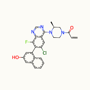 C=CC(=O)N1CCN(c2ncnc3c(F)c(-c4cc(O)cc5ccccc45)c(Cl)cc23)[C@@H](C)C1